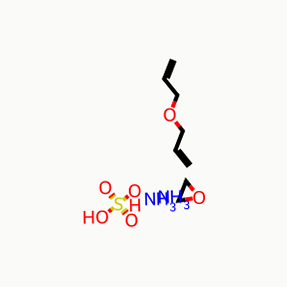 C1CO1.C=CCOCC=C.N.N.O=S(=O)(O)O